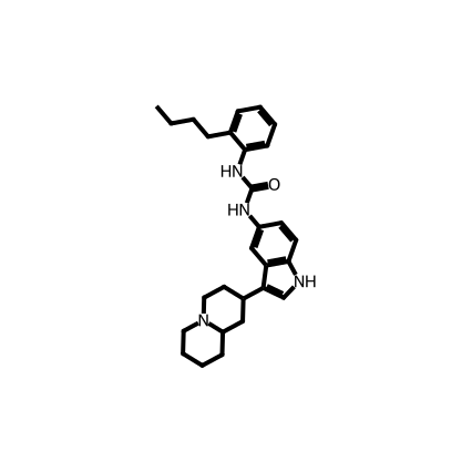 CCCCc1ccccc1NC(=O)Nc1ccc2[nH]cc(C3CCN4CCCCC4C3)c2c1